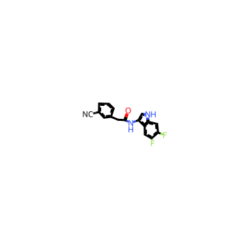 N#Cc1cccc(CC(=O)Nc2c[nH]c3cc(F)c(F)cc23)c1